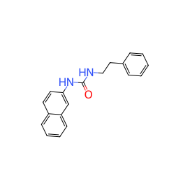 O=C(NCCc1ccccc1)Nc1ccc2ccccc2c1